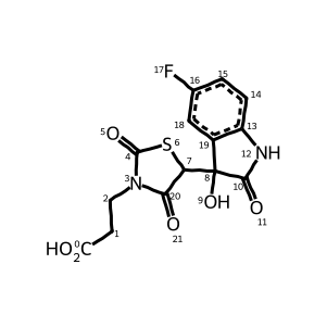 O=C(O)CCN1C(=O)SC(C2(O)C(=O)Nc3ccc(F)cc32)C1=O